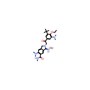 Br.CCOc1c(N(C)C)cc(C(=O)CN2Cc3cc(N(C)C)c(C(=O)NC)cc3C2=N)cc1C(C)(C)C